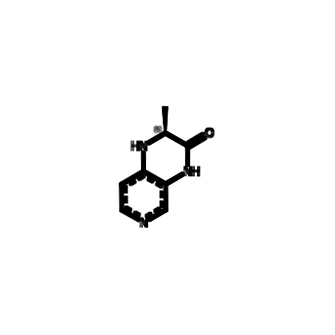 C[C@@H]1Nc2ccncc2NC1=O